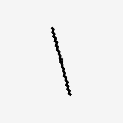 CCCCCCCCCCCCCCC=NCCCCCCCCCCCCCCCC